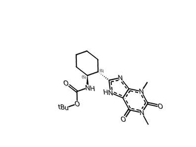 Cn1c(=O)c2[nH]c([C@H]3CCCC[C@@H]3NC(=O)OC(C)(C)C)nc2n(C)c1=O